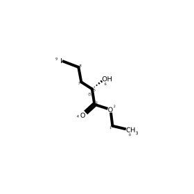 CCOC(=O)[C@@H](O)CCI